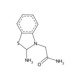 NC(=O)CN1c2ccccc2SC1N